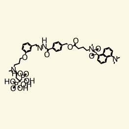 CN(CCCOc1cccc(/C=N/NC(=O)c2ccc(COC(=O)CCCN(C)S(=O)(=O)c3cccc4c(N(C)C)cccc34)cc2)c1)CCC(O)(P(=O)(O)O)P(=O)(O)O